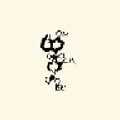 CC1CN(C(=O)OC(C)(C)C)CCN1S(=O)(=O)c1ccc(O)c2ncccc12